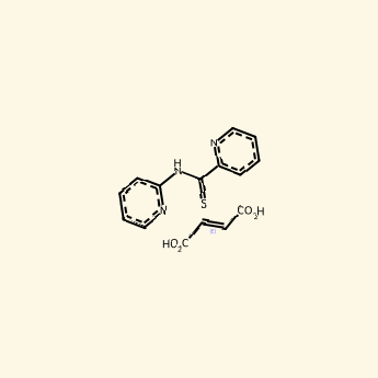 O=C(O)/C=C/C(=O)O.S=C(Nc1ccccn1)c1ccccn1